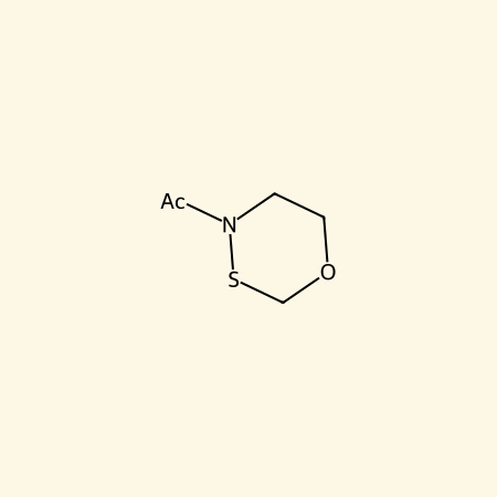 CC(=O)N1CCOCS1